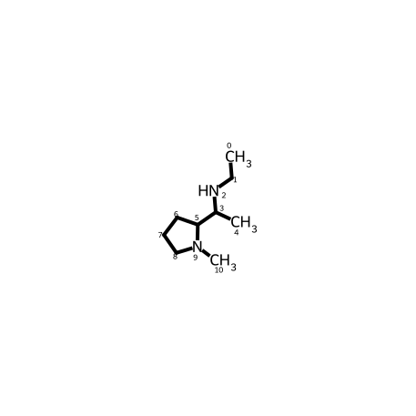 CCNC(C)C1CCCN1C